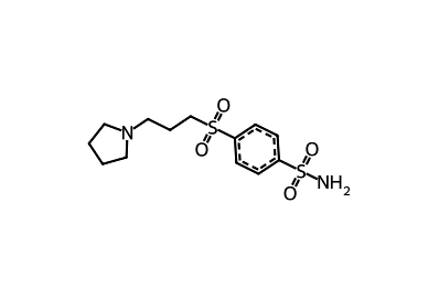 NS(=O)(=O)c1ccc(S(=O)(=O)CCCN2CCCC2)cc1